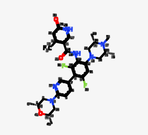 C[C@@H]1CN(c2ccc(-c3c(F)cc(N4C[C@@H](C)N(C)[C@@H](C)C4)c(NC(=O)c4c[nH]c(=O)cc4C(F)(F)F)c3F)cn2)C[C@H](C)O1